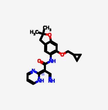 CC1(C)Cc2cc(NC(=O)/C(C=N)=C3\N=CC=CN3)c(OCC3CC3)cc2O1